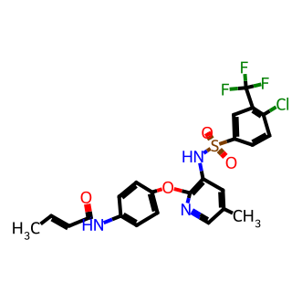 C/C=C/C(=O)Nc1ccc(Oc2ncc(C)cc2NS(=O)(=O)c2ccc(Cl)c(C(F)(F)F)c2)cc1